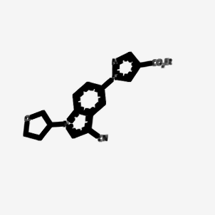 CCOC(=O)c1cnn(-c2ccc3c(c2)c(C#N)cn3C2CCOC2)c1